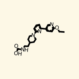 CCOc1ccc(-c2cccc(N3CCC(CCNC(=O)O)CC3)n2)cn1